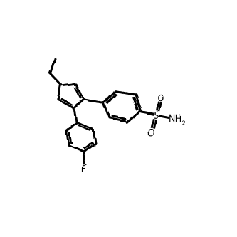 CCC1C=C(c2ccc(F)cc2)C(c2ccc(S(N)(=O)=O)cc2)=C1